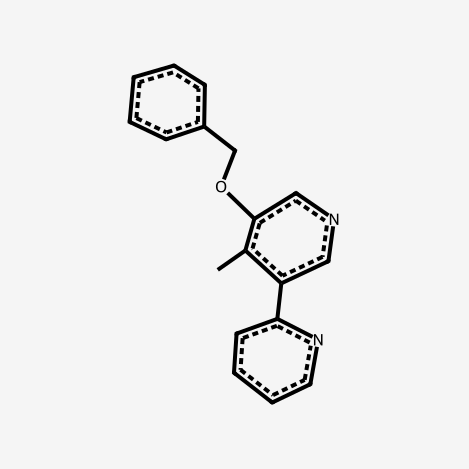 Cc1c(OCc2ccccc2)cncc1-c1ccccn1